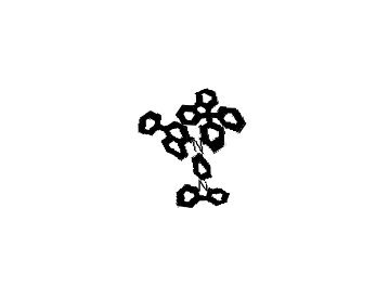 c1ccc(-c2ccc(N(c3ccc(-n4c5ccccc5c5ccccc54)cc3)c3cccc(C4(c5ccccc5)c5ccccc5-c5ccccc54)c3)c3ccccc23)cc1